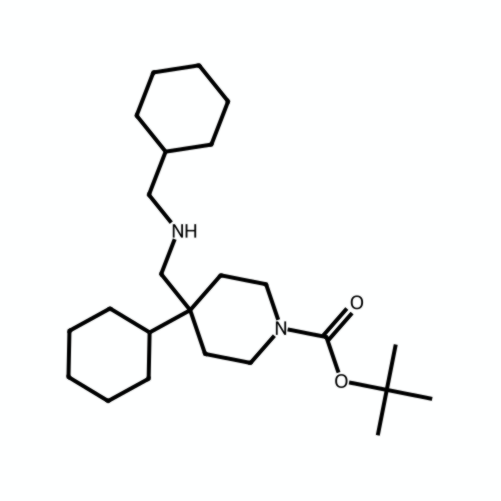 CC(C)(C)OC(=O)N1CCC(CNCC2CCCCC2)(C2CCCCC2)CC1